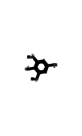 COc1cc(C#N)cc(OC)c1[NH]